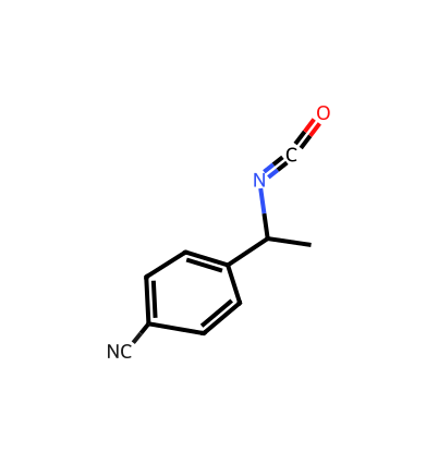 CC(N=C=O)c1ccc(C#N)cc1